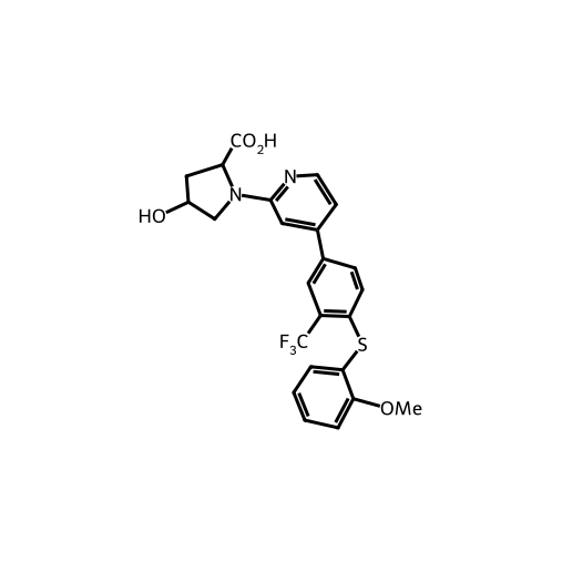 COc1ccccc1Sc1ccc(-c2ccnc(N3CC(O)CC3C(=O)O)c2)cc1C(F)(F)F